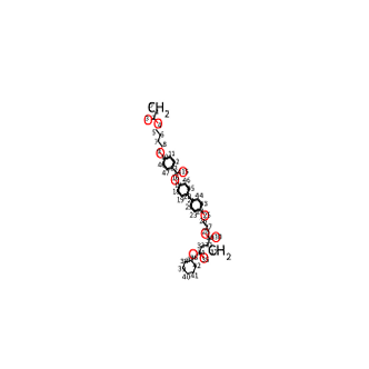 C=CC(=O)OCCCCOc1ccc(C(=O)Oc2ccc(-c3ccc(OCCOC(=O)C(=C)CC(=O)OC4CCCCC4)cc3)cc2)cc1